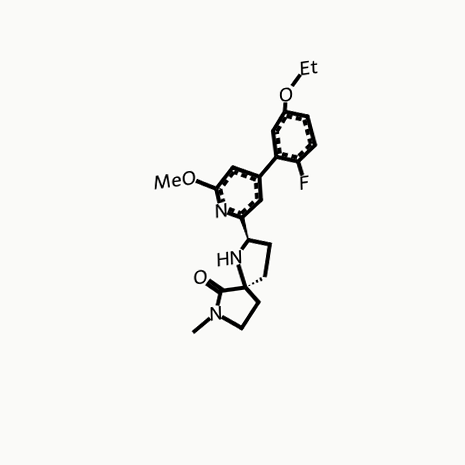 CCOc1ccc(F)c(-c2cc(OC)nc([C@H]3CC[C@@]4(CCN(C)C4=O)N3)c2)c1